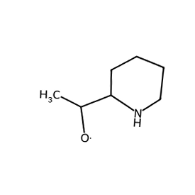 CC([O])C1CCCCN1